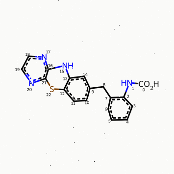 O=C(O)Nc1ccccc1Cc1ccc2c(c1)Nc1nccnc1S2